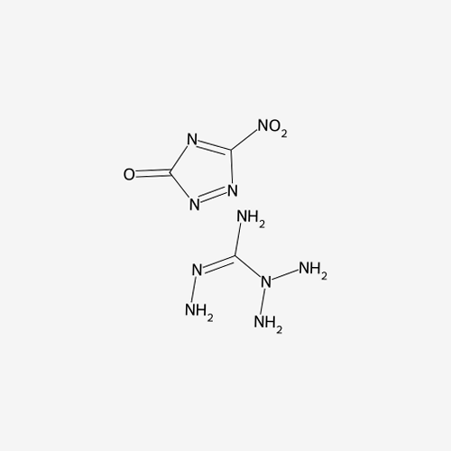 NN=C(N)N(N)N.O=C1N=NC([N+](=O)[O-])=N1